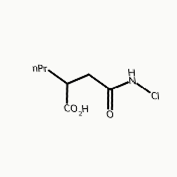 CCCC(CC(=O)NCl)C(=O)O